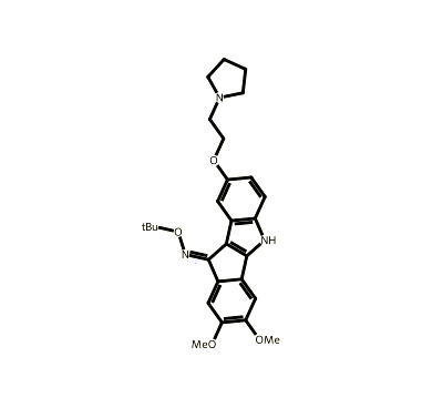 COc1cc2c(cc1OC)-c1[nH]c3ccc(OCCN4CCCC4)cc3c1/C2=N\OC(C)(C)C